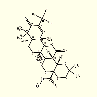 COC(=O)[C@]12CCC(C)(C)C[C@H]1[C@H]1C(=O)C=C3[C@@]4(C)C=C(C(F)(F)F)C(=O)C(C)(C)[C@@H]4CC[C@@]3(C)[C@]1(C)CC2